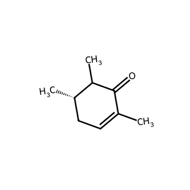 CC1=CC[C@H](C)C(C)C1=O